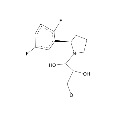 [O]CC(O)C(O)N1CCC[C@@H]1c1cc(F)ccc1F